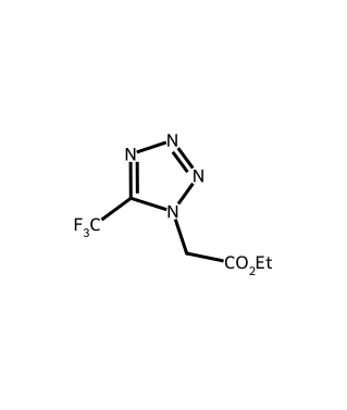 CCOC(=O)Cn1nnnc1C(F)(F)F